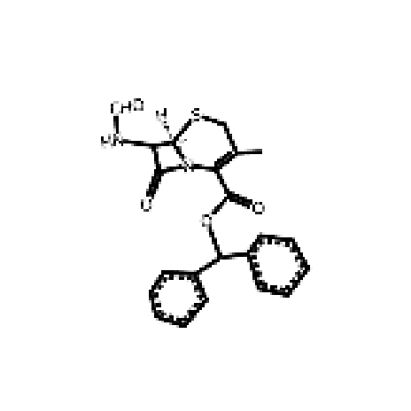 CC1=C(C(=O)OC(c2ccccc2)c2ccccc2)N2C(=O)C(NC=O)[C@H]2SC1